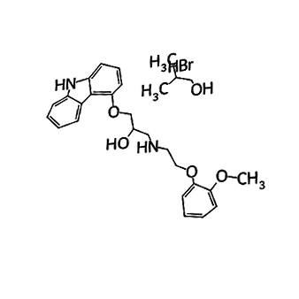 Br.CC(C)CO.COc1ccccc1OCCNCC(O)COc1cccc2[nH]c3ccccc3c12